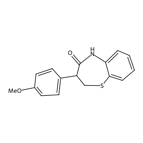 COc1ccc(C2CSc3ccccc3NC2=O)cc1